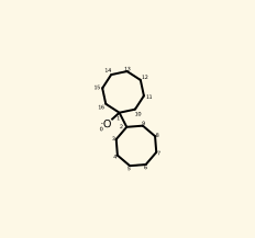 [O]C1(C2CCCCCCC2)CCCCCCC1